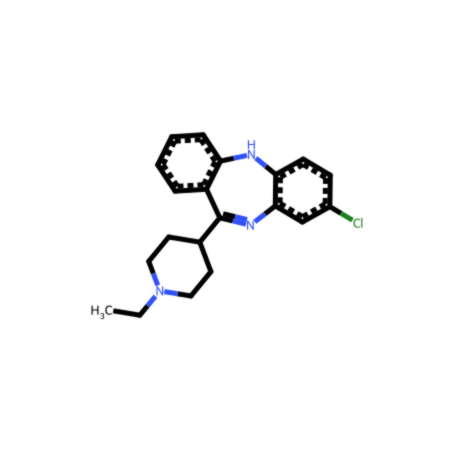 CCN1CCC(C2=Nc3cc(Cl)ccc3Nc3ccccc32)CC1